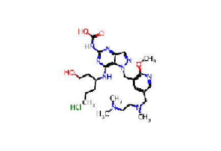 CCC[C@@H](CCO)Nc1nc(NC(=O)O)nc2cnn(Cc3cc(CN(C)CCN(C)C)cnc3OC)c12.Cl